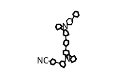 N#Cc1ccc(-c2cccc(-n3c4ccccc4c4cc(-c5ccc(-c6ccc7c(c6)c6ccccc6n7C6=CC=C(c7ccccc7)CC6)cc5)ccc43)c2)cc1